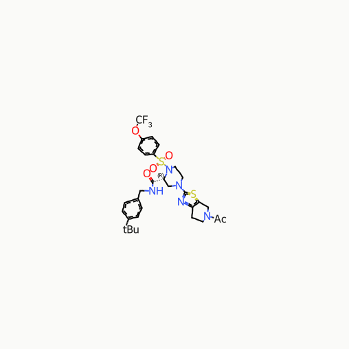 CC(=O)N1CCc2nc(N3CCN(S(=O)(=O)c4ccc(OC(F)(F)F)cc4)[C@@H](C(=O)NCc4ccc(C(C)(C)C)cc4)C3)sc2C1